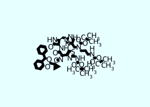 CC(C)(C)OC(=O)NCCCN(Cc1cnn(C[C@@H]2NC(=O)[C@H]2NC(=O)C(=NOC2(C(=O)OC(c3ccccc3)c3ccccc3)CC2)c2csc(NC(=O)OC(C)(C)C)n2)n1)C(=O)OC(C)(C)C